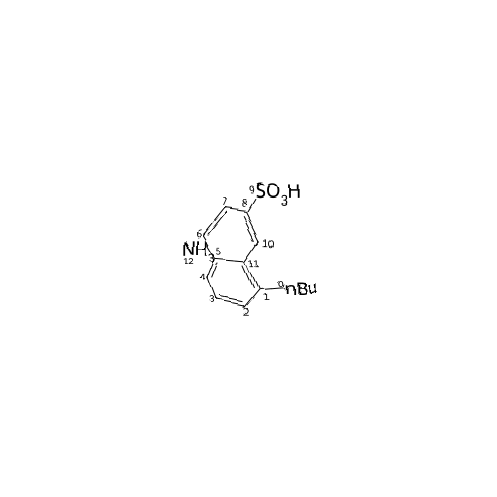 CCCCc1cccc2ccc(S(=O)(=O)O)cc12.N